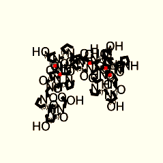 O=C(O)CNC(=O)[C@@H]1C[C@@H](O)CN1C(=O)[C@@H]1CCCN1C(=O)CNC(=O)[C@@H]1C[C@@H](O)CN1C(=O)[C@@H]1CCCN1C(=O)CNC(=O)[C@@H]1C[C@@H](O)CN1C(=O)[C@@H]1CCCN1C(=O)CNC(=O)[C@@H]1C[C@@H](O)CN1C(=O)[C@@H]1CCCN1C(=O)CNC(=O)[C@@H]1C[C@@H](O)CN1C(=O)[C@@H]1CCCN1C(=O)CNC(=O)[C@@H]1C[C@@H](O)CN1C(=O)[C@@H]1CCCN1C(=O)CNC(=O)[C@@H]1C[C@@H](O)CN1C(=O)[C@@H]1CCCN1